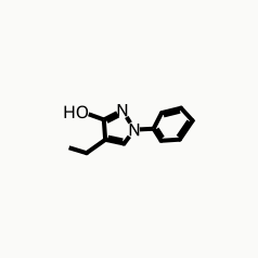 CCc1cn(-c2ccccc2)nc1O